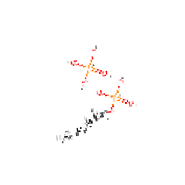 O=P([O-])([O-])[O-].O=P([O-])([O-])[O-].[Mg+2].[Mg+2].[Mg+2].[MgH2]